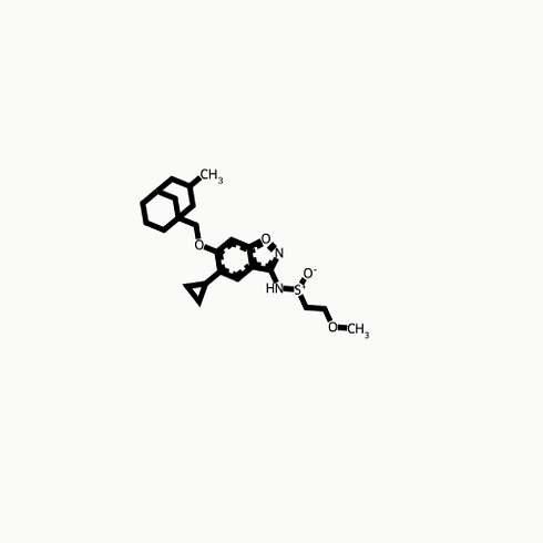 COCC[S+]([O-])Nc1noc2cc(OCC34CCCC(CC(C)C3)C4)c(C3CC3)cc12